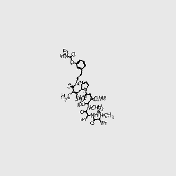 CCNC(=O)Oc1cccc(CCNC(=O)C(C)C(SC)C2CCCN2C(=O)CC(OC)C(C(C)CC)N(C)C(=O)C(NC(=O)C(C(C)C)N(C)C)C(C)C)c1